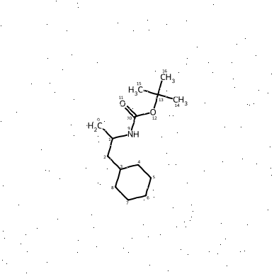 [CH2]C(CC1CCCCC1)NC(=O)OC(C)(C)C